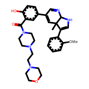 COc1ccccc1C1=CNC2N=CC(c3ccc(O)c(C(=O)N4CCN(CCN5CCOCC5)CC4)c3)=CC12C